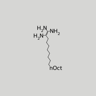 CCCCCCCCCCCCCCCCC(N)=C(N)N